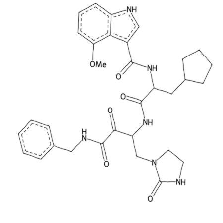 COc1cccc2[nH]cc(C(=O)NC(CC3CCCC3)C(=O)NC(CN3CCNC3=O)C(=O)C(=O)NCc3ccccc3)c12